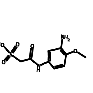 COc1ccc(NC(=O)CS(=O)(=O)O)cc1N